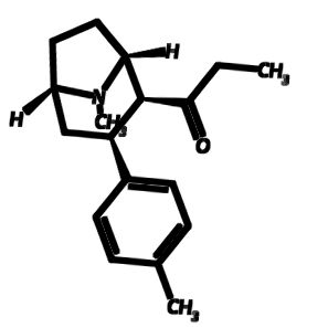 CCC(=O)[C@H]1[C@@H](c2ccc(C)cc2)C[C@@H]2CC[C@H]1N2C